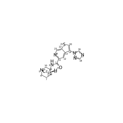 O=C(N[C@H]1CN2CCC1CC2)c1cc2c(-n3cncn3)csc2cn1